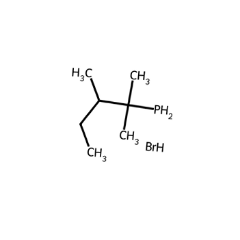 Br.CCC(C)C(C)(C)P